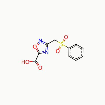 O=C(O)c1nc(CS(=O)(=O)c2ccccc2)no1